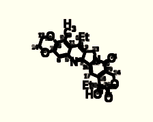 CCc1c2c(nc3cc4c(c(C)c13)OCCO4)-c1cc3c(c(=O)n1C2)COC(=O)[C@]3(O)CC